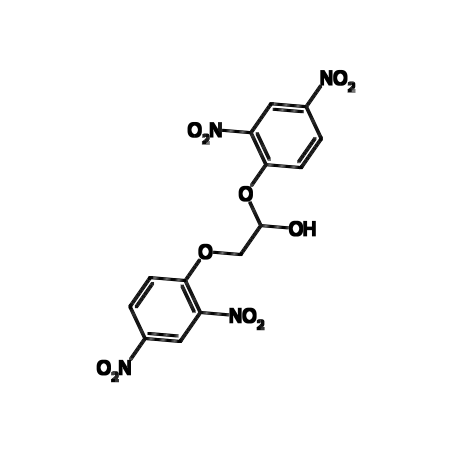 O=[N+]([O-])c1ccc(OCC(O)Oc2ccc([N+](=O)[O-])cc2[N+](=O)[O-])c([N+](=O)[O-])c1